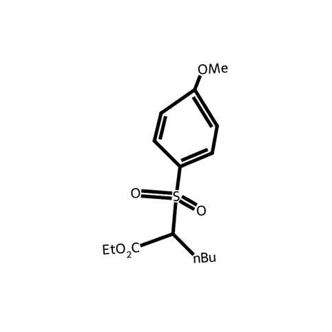 CCCCC(C(=O)OCC)S(=O)(=O)c1ccc(OC)cc1